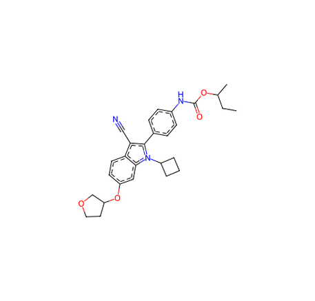 CCC(C)OC(=O)Nc1ccc(-c2c(C#N)c3ccc(OC4CCOC4)cc3n2C2CCC2)cc1